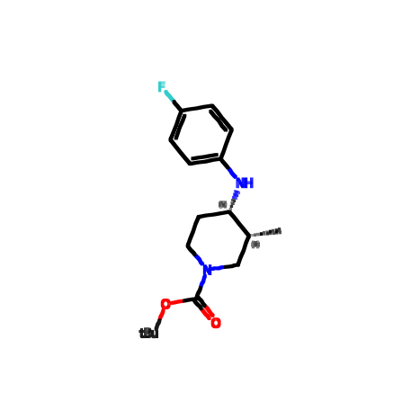 C[C@@H]1CN(C(=O)OC(C)(C)C)CC[C@@H]1Nc1ccc(F)cc1